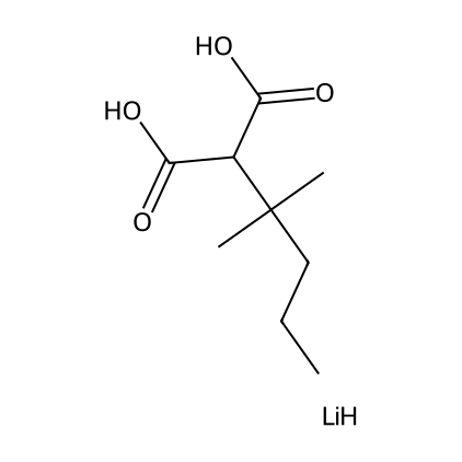 CCCC(C)(C)C(C(=O)O)C(=O)O.[LiH]